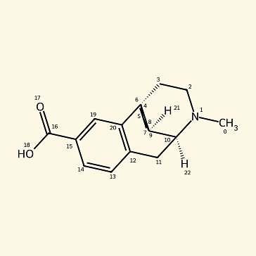 CN1CC[C@@]23CCCC[C@@H]2[C@@H]1Cc1ccc(C(=O)O)cc13